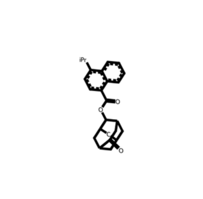 CC(C)c1ccc(C(=O)OC2C3CC(=O)C4CC(C3)CC2C4)c2ccccc12